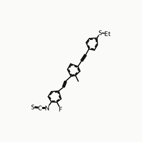 CCSc1ccc(C#Cc2ccc(C#Cc3ccc(N=C=S)c(F)c3)c(C)c2)cc1